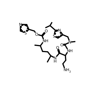 CC(CCC(C)NC(=O)C(CCN)NC(=O)N(C)Cc1csc(C(C)C)n1)NC(=O)OCc1cncs1